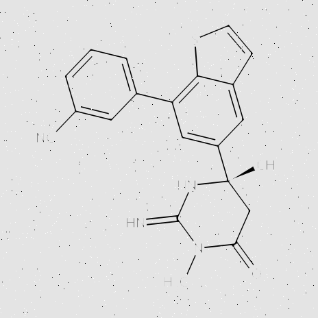 CN1C(=N)N[C@](C)(c2cc(-c3cccc(C#N)c3)c3sccc3c2)CC1=O